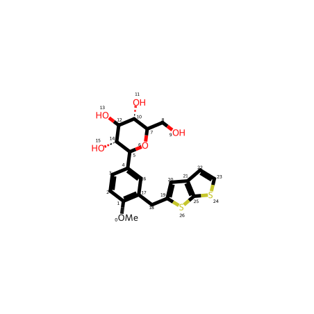 COc1ccc(C2OC(CO)[C@@H](O)C(O)[C@H]2O)cc1Cc1cc2ccsc2s1